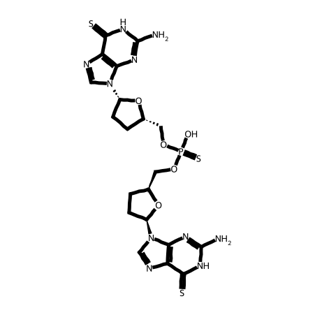 Nc1nc2c(ncn2[C@H]2CC[C@@H](COP(O)(=S)OC[C@@H]3CC[C@H](n4cnc5c(=S)[nH]c(N)nc54)O3)O2)c(=S)[nH]1